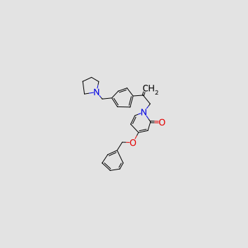 C=C(Cn1ccc(OCc2ccccc2)cc1=O)c1ccc(CN2CCCC2)cc1